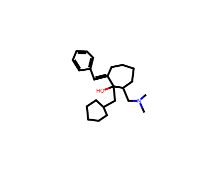 CN(C)CC1CCCCC(=Cc2ccccc2)C1(O)CC1CCCCC1